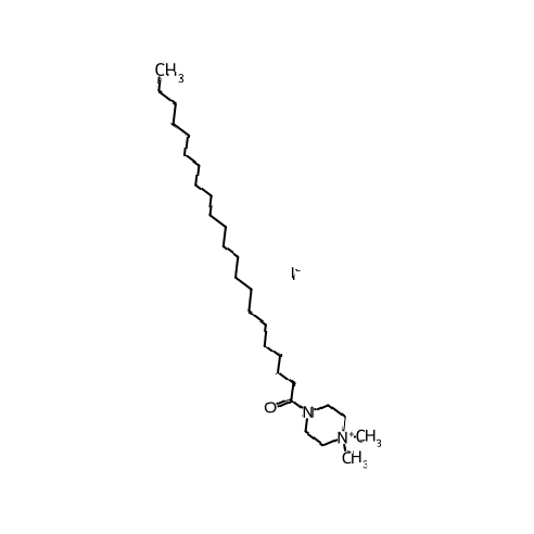 CCCCCCCCCCCCCCCCCCCCCC(=O)N1CC[N+](C)(C)CC1.[I-]